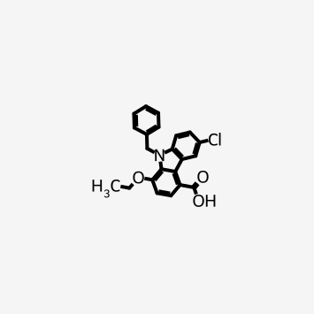 CCOc1ccc(C(=O)O)c2c3cc(Cl)ccc3n(Cc3ccccc3)c12